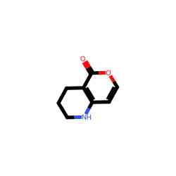 O=c1occc2c1CCCN2